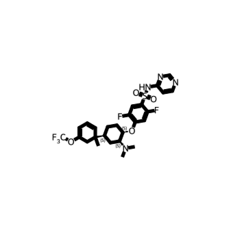 CN(C)[C@H]1C[C@@H](C2(C)C=CC=C(OC(F)(F)F)C2)CC[C@@H]1Oc1cc(F)c(S(=O)(=O)Nc2ccncn2)cc1F